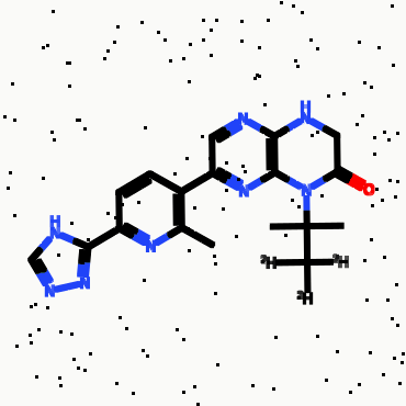 [2H]C([2H])([2H])C(C)(C)N1C(=O)CNc2ncc(-c3ccc(-c4nnc[nH]4)nc3C)nc21